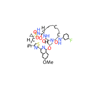 COc1ccc2c(O[C@@H]3C[C@H]4C(=O)N[C@]5(C(=O)NS(=O)(=O)C6(C)CC6)C[C@H]5/C=C\CCCCC[C@H](Nc5cccc(F)c5)C(=O)N4C3)nc(-c3nc(C(C)C)cs3)cc2c1